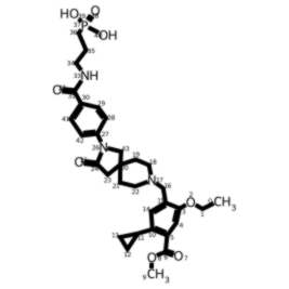 CCOc1cc(C(=O)OC)c(C2CC2)cc1CN1CCC2(CC1)CC(=O)N(c1ccc(C(=O)NCCCP(=O)(O)O)cc1)C2